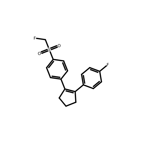 O=S(=O)(CF)c1ccc(C2=C(c3ccc(F)cc3)CCC2)cc1